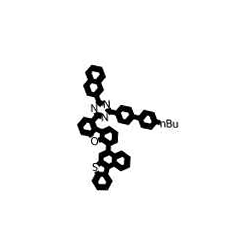 CCCCc1ccc(-c2ccc(-c3nc(-c4ccc5ccccc5c4)nc(-c4cccc5oc6c(-c7cc8sc9ccccc9c8c8ccccc78)cccc6c45)n3)cc2)cc1